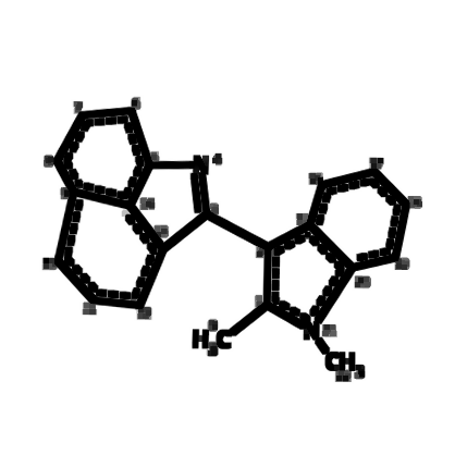 Cc1c(C2=Nc3cccc4cccc2c34)c2ccccc2n1C